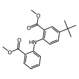 COC(=O)c1ccccc1Nc1ccc(C(C)(C)C)cc1C(=O)OC